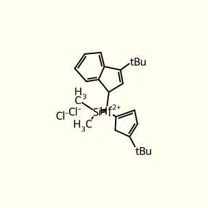 C[Si](C)=[Hf+2]([C]1=CC=C(C(C)(C)C)C1)[CH]1C=C(C(C)(C)C)c2ccccc21.[Cl-].[Cl-]